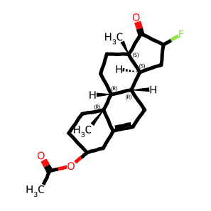 CC(=O)OC1CC[C@@]2(C)C(=CC[C@@H]3[C@H]2CC[C@]2(C)C(=O)C(F)C[C@@H]32)C1